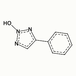 On1ncc(-c2ccccc2)n1